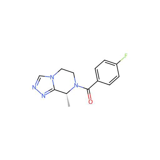 C[C@@H]1c2nncn2CCN1C(=O)c1ccc(F)cc1